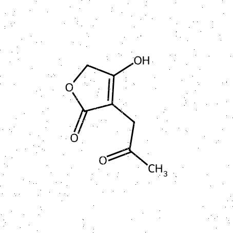 CC(=O)CC1=C(O)COC1=O